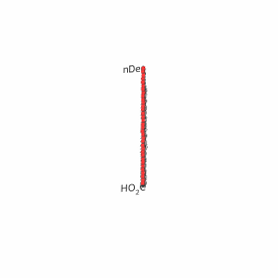 CCCCCCCCCCCCCCCCCCCCCCCCCCCCCCCCCCCCCCCCCCCCCCCCCCCCCCCCCCCCCCCCCCCCCCCCCCCCCC(=O)O